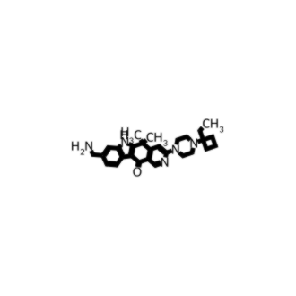 CCC1(N2CCN(c3cc4c(cn3)C(=O)c3c([nH]c5cc(CN)ccc35)C4(C)C)CC2)CCC1